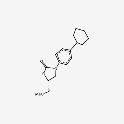 COC[C@H]1CN(c2ccc(C3CCCCC3)cc2)C(=O)O1